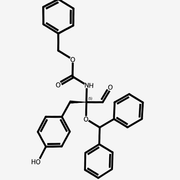 O=C[C@@](Cc1ccc(O)cc1)(NC(=O)OCc1ccccc1)OC(c1ccccc1)c1ccccc1